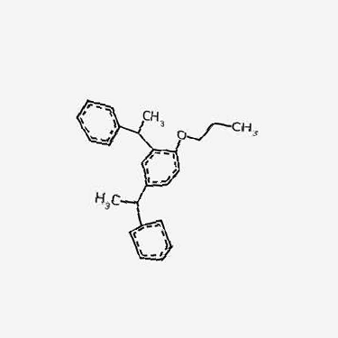 CCCOc1ccc(C(C)c2ccccc2)cc1C(C)c1ccccc1